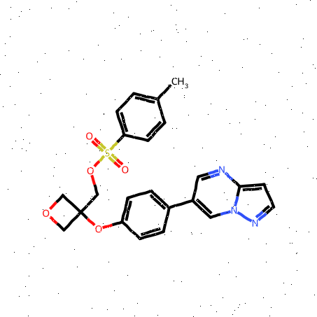 Cc1ccc(S(=O)(=O)OCC2(Oc3ccc(-c4cnc5ccnn5c4)cc3)COC2)cc1